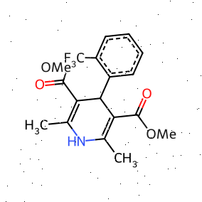 COC(=O)C1=C(C)NC(C)=C(C(=O)OC)C1c1ccccc1C(F)(F)F